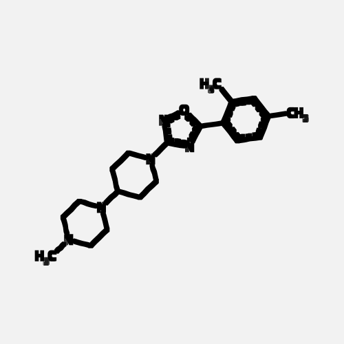 Cc1ccc(-c2nc(N3CCC(N4CCN(C)CC4)CC3)no2)c(C)c1